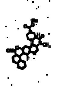 COc1ccc2ccccc2c1-c1c(Cl)cc2c3c(cnc2c1F)N(C)C(=O)[C@H]1CN(C(=O)OC(C)(C)C)CCN31